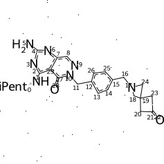 CCC[C@@H](C)Nc1nc(N)nc2cnn(Cc3ccc(CN4CC5(CC(=O)C5)C4)cc3)c(=O)c12